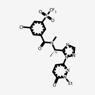 CCn1nc(-n2ncnc2[C@H](C)N(C)C(=O)c2cc(Cl)cc(S(=O)(=O)C(F)(F)F)c2)ccc1=O